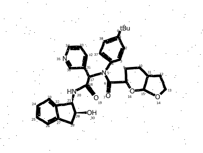 CC(C)(C)c1ccc(N(C(=O)C2CCC3CCOC3O2)C(C(=O)N[C@@H]2c3ccccc3C[C@@H]2O)c2cccnc2)cc1